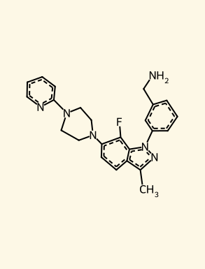 Cc1nn(-c2cccc(CN)c2)c2c(F)c(N3CCN(c4ccccn4)CC3)ccc12